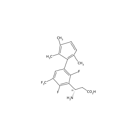 Cc1ccc(C)c(-c2cc(C(F)(F)F)c(F)c([C@@H](N)CC(=O)O)c2F)c1C